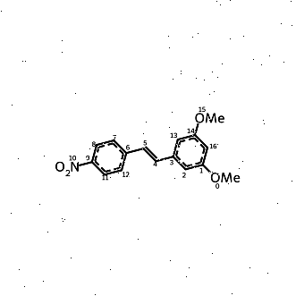 COc1cc(C=Cc2ccc([N+](=O)[O-])cc2)cc(OC)c1